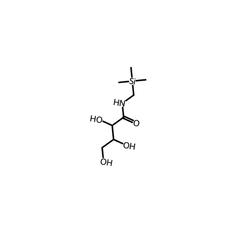 C[Si](C)(C)CNC(=O)C(O)C(O)CO